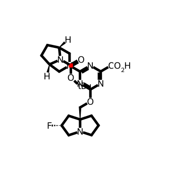 CC(C)(C)OC(=O)N1[C@@H]2CC[C@H]1CN(c1nc(OC[C@@]34CCCN3C[C@H](F)C4)nc(C(=O)O)n1)C2